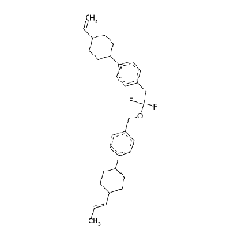 C=CC1CCC(c2ccc(CC(F)(F)OCc3ccc(C4CCC(C=CC)CC4)cc3)cc2)CC1